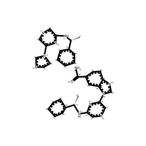 C[C@@H](Nc1cncc(-n2ccnc2)n1)c1ccccc1.C[C@H](Nc1cncc(-n2cnc3ccc(C(N)=O)cc32)n1)c1ccccc1